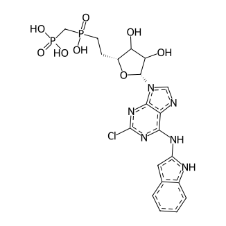 O=P(O)(O)CP(=O)(O)CC[C@H]1O[C@@H](n2cnc3c(Nc4cc5ccccc5[nH]4)nc(Cl)nc32)C(O)C1O